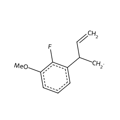 [CH2]C(C=C)c1cccc(OC)c1F